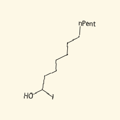 CCCCCCCCCCCC(O)I